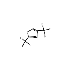 FC(F)(F)c1csc(C(F)(F)F)c1